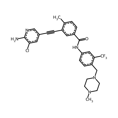 Cc1ccc(C(=O)Nc2ccc(CN3CCN(C)CC3)c(C(F)(F)F)c2)cc1C#Cc1cnc(N)c(Cl)c1